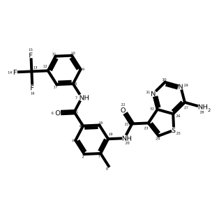 Cc1ccc(C(=O)Nc2cccc(C(F)(F)F)c2)cc1NC(=O)c1csc2c(N)ncnc12